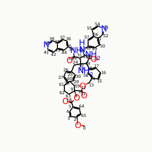 COc1ccc(C(=O)OC2(C(=O)OCc3cccc(C(C=O)C(N)(Cc4ccccc4)C(C(=O)Nc4ccc5cnccc5c4)C(N)Nc4ccc5cnccc5c4)c3)CCCCC2)cc1